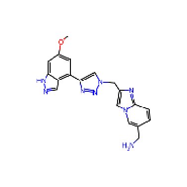 COc1cc(-c2cn(Cc3cn4cc(CN)ccc4n3)nn2)c2cn[nH]c2c1